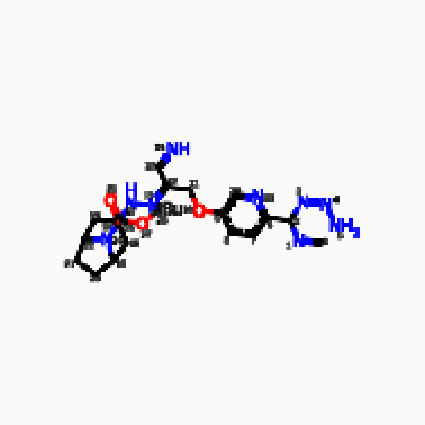 C=NC(/N=N\N)c1ccc(OC/C(C=N)=N/NC2CC3CCC(C2)N3C(=O)OC(C)(C)C)cn1